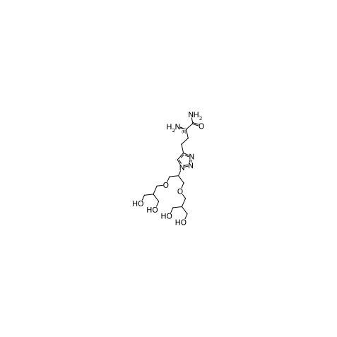 NC(=O)[C@H](N)CCc1cn(C(COCC(CO)CO)COCC(CO)CO)nn1